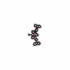 N#Cc1ccc(-c2c(-n3c4ccccc4c4cc(-n5c6ccccc6c6ccccc65)ccc43)cccc2-n2c3ccccc3c3cc(-n4c5ccccc5c5ccccc54)ccc32)cc1